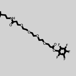 CC(C)CCNC(=O)CCOCCOCCOCCOCCC(=O)Oc1c(F)c(F)c(F)c(F)c1F